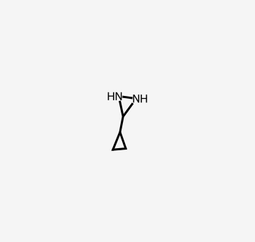 C1CC1C1NN1